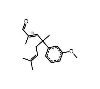 COc1cccc(C(C)(/C=C(\C)C=O)CC=C(C)C)c1